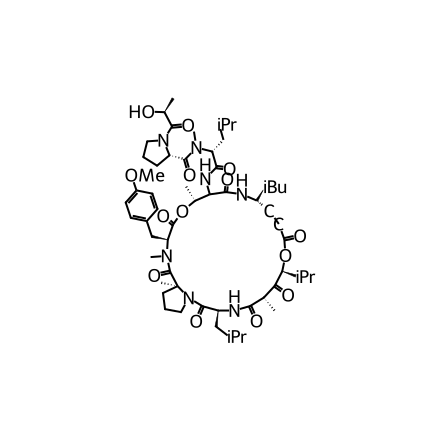 CC[C@H](C)[C@@H]1CCC(=O)O[C@@H](C(C)C)C(=O)[C@H](C)C(=O)N[C@@H](CC(C)C)C(=O)N2CCC[C@@]2(C)C(=O)N(C)[C@@H](Cc2ccc(OC)cc2)C(=O)O[C@H](C)C(NC(=O)[C@@H](CC(C)C)N(C)C(=O)[C@@H]2CCCN2C(=O)[C@H](C)O)C(=O)N1